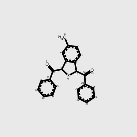 Cc1ccc2c(c1)C(C(=O)c1ccccc1)SC2C(=O)c1ccccc1